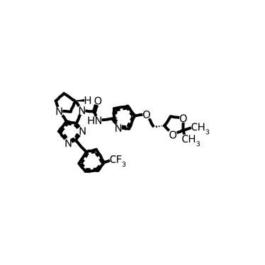 CC1(C)OC[C@@H](COc2ccc(NC(=O)N3c4nc(-c5cccc(C(F)(F)F)c5)ncc4N4CC[C@H]3C4)nc2)O1